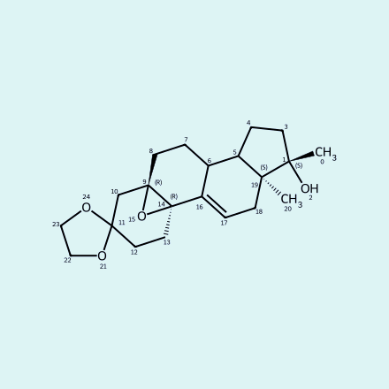 C[C@]1(O)CCC2C3CC[C@@]45CC6(CC[C@@]4(O5)C3=CC[C@@]21C)OCCO6